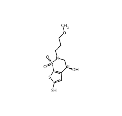 COCCCN1C[C@@H](O)c2cc(S)sc2S1(=O)=O